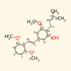 COc1cccc(OC)c1/C=C/c1cc(O)c(CC=C(C)C)c(OC)c1